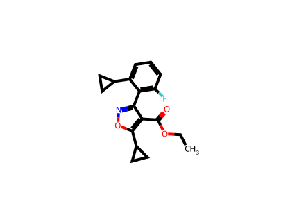 CCOC(=O)c1c(-c2c(F)cccc2C2CC2)noc1C1CC1